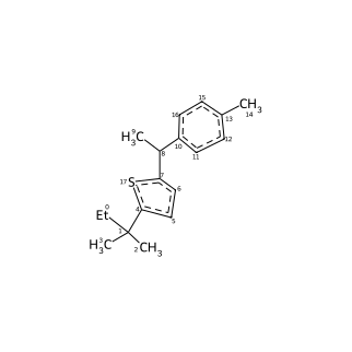 CCC(C)(C)c1ccc(C(C)c2ccc(C)cc2)s1